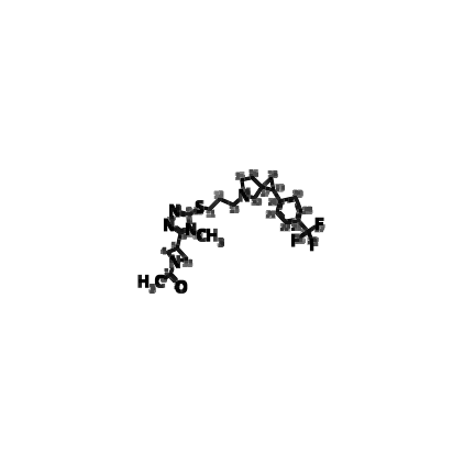 CC(=O)N1CC(c2nnc(SCCCN3CCC4(CC4c4ccc(C(F)(F)F)cc4)C3)n2C)C1